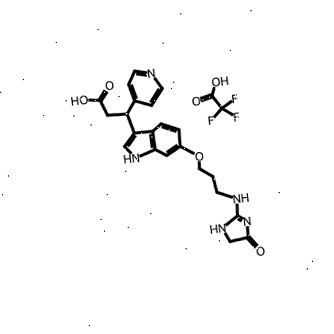 O=C(O)C(F)(F)F.O=C(O)CC(c1ccncc1)c1c[nH]c2cc(OCCCNC3=NC(=O)CN3)ccc12